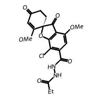 CCC(=O)NNC(=O)c1cc(OC)c2c(c1Cl)O[C@]1(CCC(=O)C=C1OC)C2=O